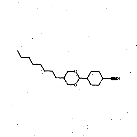 CCCCCCCCC1COC(C2CCC(C#N)CC2)OC1